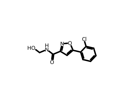 O=C(NCO)c1cc(-c2ccccc2Cl)on1